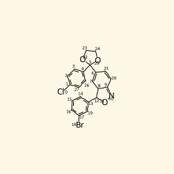 Clc1ccc(C2(C3=CC4C(=NOC4c4cccc(Br)c4)C=C3)OCCO2)cc1